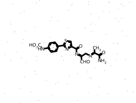 C/C(=N\CC(C=O)=NC(=O)c1csc(-c2ccc(NC(=O)O)cc2)n1)C(N)=O